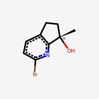 C[C@]1(O)CCc2ccc(Br)nc21